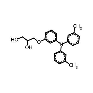 Cc1cccc(N(c2cccc(C)c2)c2cccc(OCC(O)CO)c2)c1